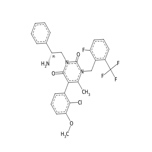 COc1cccc(-c2c(C)n(Cc3c(F)cccc3C(F)(F)F)c(=O)n(C[C@H](N)c3ccccc3)c2=O)c1Cl